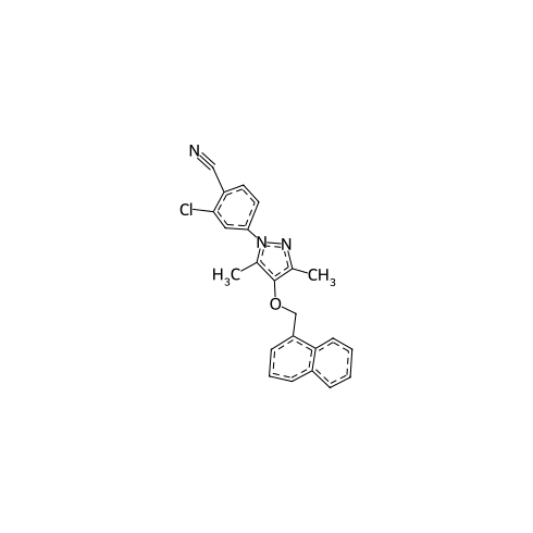 Cc1nn(-c2ccc(C#N)c(Cl)c2)c(C)c1OCc1cccc2ccccc12